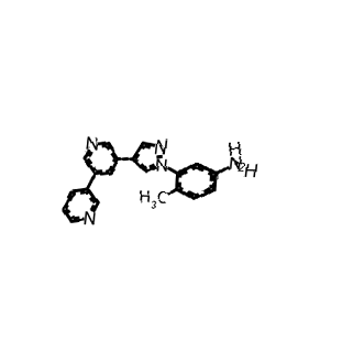 [2H]Nc1ccc(C)c(-n2cc(-c3cncc(-c4cccnc4)c3)cn2)c1